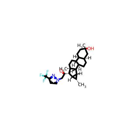 C[C@H]1[C@@H]2[C@H]1[C@H](C(=O)Cn1ccc(C(F)(F)F)n1)[C@@]1(C)CC[C@H]3[C@@H](CC[C@@H]4C[C@](C)(O)CC[C@@H]43)[C@H]21